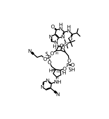 CC(C)C(=O)Nc1nc2c(ncn2[C@@H]2OC3COP(=O)(S)O[C@H]4C[C@H](Nc5ncncc5C#N)C[C@@H]4COP(=S)(OCCC#N)O[C@@H]2C3O[Si](C)(C)C(C)(C)C)c(=O)[nH]1